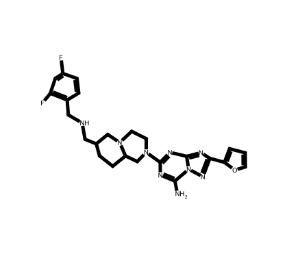 Nc1nc(N2CCN3CC(CNCc4ccc(F)cc4F)CCC3C2)nc2nc(-c3ccco3)nn12